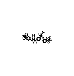 CCS(=O)(=O)c1ccc(CNC(=O)c2ccc3c(c2)nc(C2CC2)n3Cc2cccc3c2OC(F)(F)O3)cc1